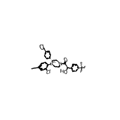 Cc1ccc(N2CCN(C(=O)C(O)c3ccc(C(F)(F)F)cc3)C[C@H]2c2ccc(Cl)cc2)c(Cl)c1